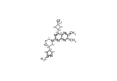 Cc1nc2nc(N3CCOC(c4cnn(C)c4)C3)nc(C3CC(C(F)(F)F)C3)c2nc1C